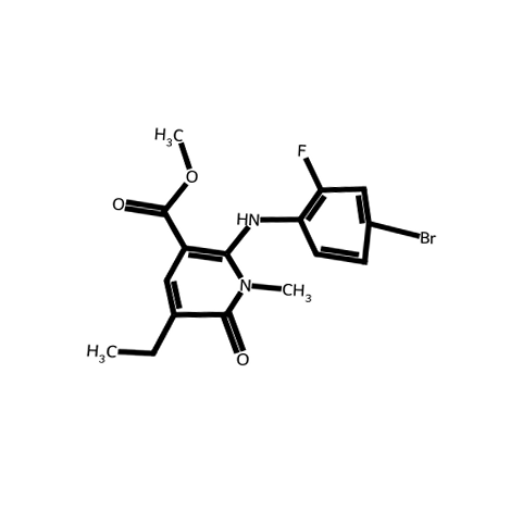 CCc1cc(C(=O)OC)c(Nc2ccc(Br)cc2F)n(C)c1=O